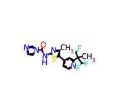 Cc1nc(NC(=O)n2ccnc2)sc1-c1ccnc(C(C)(CF)C(F)F)c1